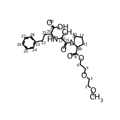 COCCOCCOC(=O)[C@@H]1CCCN1C(=O)[C@H](C)N[C@@H](CCc1ccccc1)C(=O)O